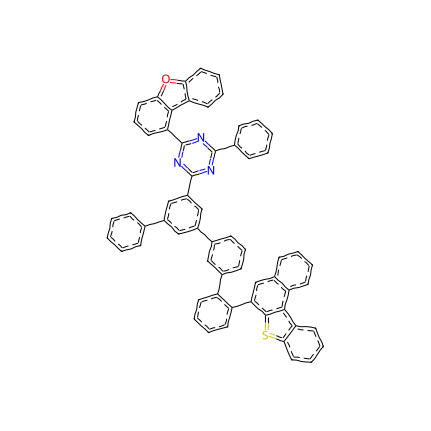 c1ccc(-c2cc(-c3cccc(-c4ccccc4-c4cc5ccccc5c5c4sc4ccccc45)c3)cc(-c3nc(-c4ccccc4)nc(-c4cccc5oc6ccccc6c45)n3)c2)cc1